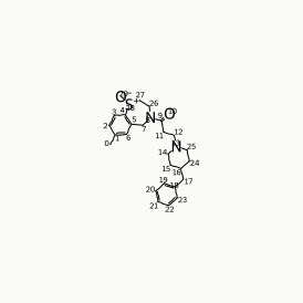 Cc1ccc2c(c1)CN(C(=O)CCN1CCC(Cc3ccccc3)CC1)CC[S+]2[O-]